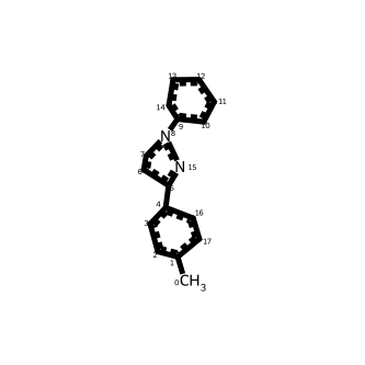 Cc1ccc(-c2ccn(-c3ccccc3)n2)cc1